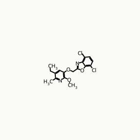 CCc1cc(OCc2nc3c(Cl)ccc(Cl)c3o2)c(OC)nc1C